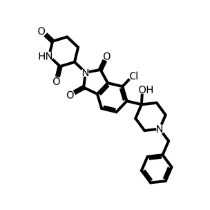 O=C1CCC(N2C(=O)c3ccc(C4(O)CCN(Cc5ccccc5)CC4)c(Cl)c3C2=O)C(=O)N1